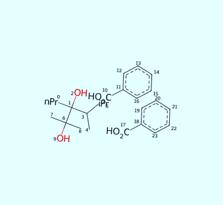 CCCC(O)(C(C)C(C)C)C(C)(C)O.O=C(O)c1ccccc1.O=C(O)c1ccccc1